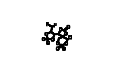 O=C1OC(C2OS(=O)(=O)OC2C(F)F)C2(COS(=O)(=O)OC2Cl)O1